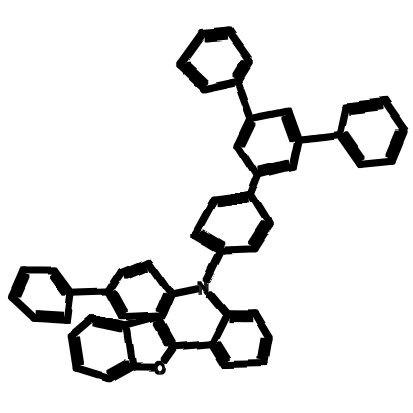 c1ccc(-c2ccc(N(c3ccc(-c4cc(-c5ccccc5)cc(-c5ccccc5)c4)cc3)c3ccccc3-c3cc4ccccc4o3)cc2)cc1